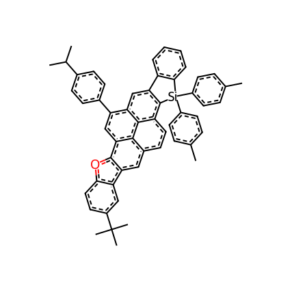 Cc1ccc([Si]2(c3ccc(C)cc3)c3ccccc3-c3cc4c(-c5ccc(C(C)C)cc5)cc5c6oc7ccc(C(C)(C)C)cc7c6cc6ccc(c32)c4c65)cc1